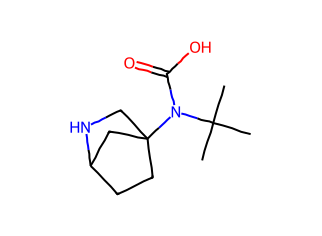 CC(C)(C)N(C(=O)O)C12CCC(C1)NC2